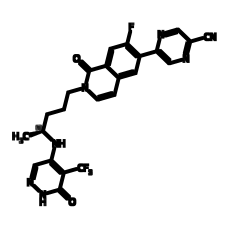 C[C@@H](CCCn1ccc2cc(-c3cnc(C#N)cn3)c(F)cc2c1=O)Nc1cn[nH]c(=O)c1C(F)(F)F